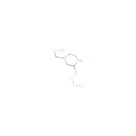 O=COCC1CN(CC(=O)O)CCN1